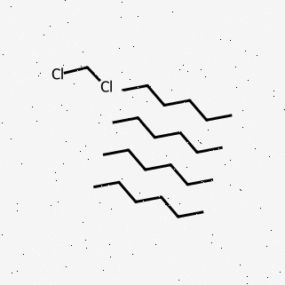 CCCCCC.CCCCCC.CCCCCC.CCCCCC.ClCCl